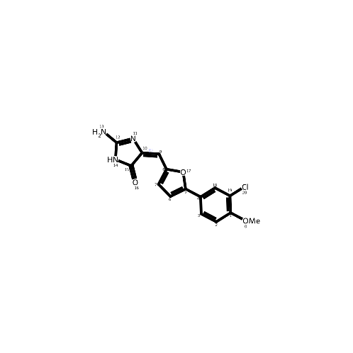 COc1ccc(-c2ccc(/C=C3/N=C(N)NC3=O)o2)cc1Cl